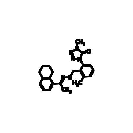 CC(=NOCc1c(C)cccc1-n1nnn(C)c1=O)c1cccc2c1CCCC2